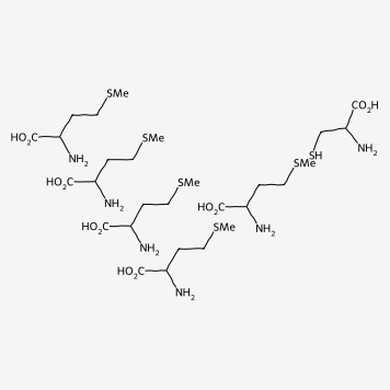 CSCCC(N)C(=O)O.CSCCC(N)C(=O)O.CSCCC(N)C(=O)O.CSCCC(N)C(=O)O.CSCCC(N)C(=O)O.NC(CS)C(=O)O